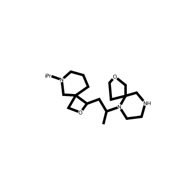 CC(C)N1CCCC2(COC2CC(C)N2CCNCC23CCOC3)C1